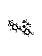 CC(C)(C)C(=O)Nc1cc(Cl)ccc1SCc1cc2c(cc1Cl)OCO2